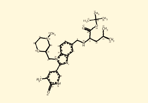 Cc1cc(-c2nc3cc(CNC(CC(C)C)C(=O)OC(C)(C)C)ccc3n2CC2CN(C)CCO2)c[nH]c1=O